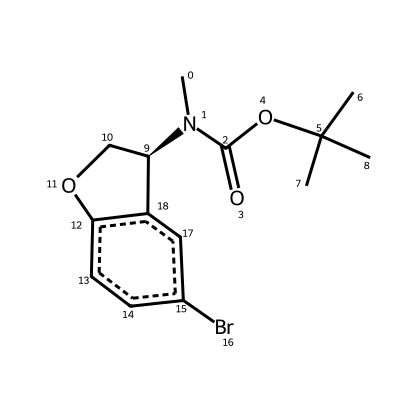 CN(C(=O)OC(C)(C)C)[C@@H]1COc2ccc(Br)cc21